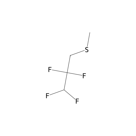 CSCC(F)(F)C(F)F